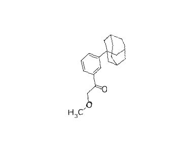 COCC(=O)c1cccc(C23CC4CC(CC(C4)C2)C3)c1